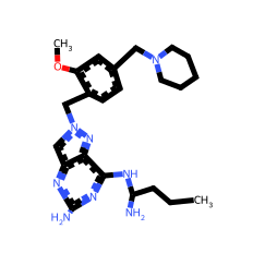 CCCC(N)Nc1nc(N)nc2cn(Cc3ccc(CN4CCCCC4)cc3OC)nc12